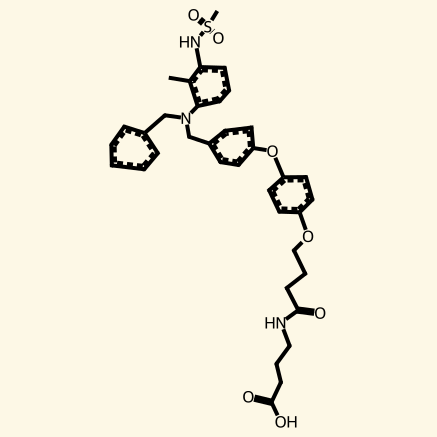 Cc1c(NS(C)(=O)=O)cccc1N(Cc1ccccc1)Cc1ccc(Oc2ccc(OCCCC(=O)NCCCC(=O)O)cc2)cc1